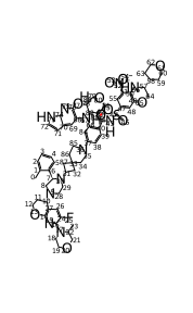 Cc1ccccc1[C@@H]1CN([C@H]2CCOc3nc(N4CCOC[C@@H]4C)c(F)cc32)CCN1C1CC2(CCN(c3ccc(C(=O)NS(=O)(=O)c4cc5c(c([N+](=O)[O-])c4)N[C@H](C4CCOCC4)CO5)c(N4c5cc6cc[nH]c6nc5O[C@H]5COCC[C@@H]54)c3)CC2)C1